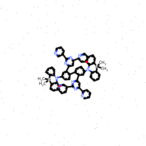 C[Si]1(C)c2ccccc2N(c2ccc(-c3ccc(N4c5ccccc5[Si](C)(C)c5ccccc54)cc3-c3cc(-c4ccccn4)nc(-c4cccnc4)n3)c(-c3cc(-c4ccccn4)nc(-c4cccnc4)n3)c2)c2ccccc21